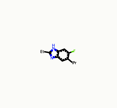 CCc1nc2cc(C(C)C)c(F)cc2[nH]1